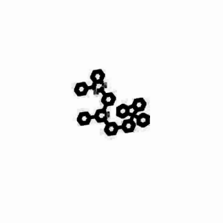 c1ccc(-c2cc(-c3cccc(-c4cccc(C5(c6ccccc6)c6ccccc6-c6ccccc65)c4)c3)nc(-c3cccc(-c4nc(-c5ccccc5)c5ccccc5n4)c3)c2)cc1